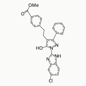 COC(=O)c1ccc(CCc2c(-c3ccccc3)nn(-c3nc4cc(Cl)ccc4[nH]3)c2O)cc1